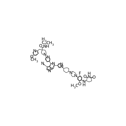 COc1ccc(CC2(C(=O)NC(C)C)CCN(c3ccc(-c4nc(-c5cnn([C@H]6CC[C@H](N7CCN(c8cc(OC)c(NC9CCC(=O)NC9=O)cc8F)CC7)CC6)c5)cn5ncc(C#N)c45)cn3)CC2)nc1